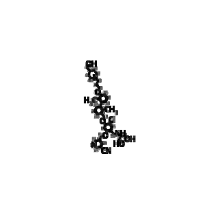 Cc1c(COc2cc(OCc3cncc(C#N)c3)c(CNC(CO)CO)cc2Cl)cccc1-c1cccc(OCCCN2CCC(CO)CC2)c1C